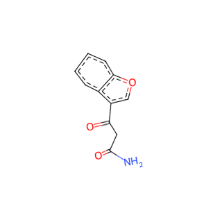 NC(=O)CC(=O)c1coc2ccccc12